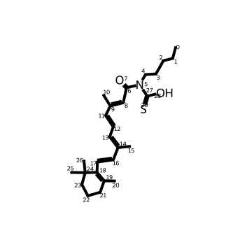 CCCCCN(C(=O)C=C(C)C=CC=C(C)C=CC1=C(C)CCCC1(C)C)C(O)=S